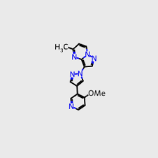 COc1ccncc1-c1cnn(-c2cnn3ccc(C)nc23)c1